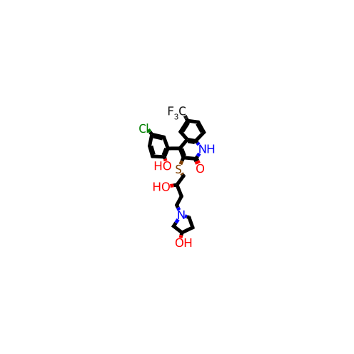 O=c1[nH]c2ccc(C(F)(F)F)cc2c(-c2cc(Cl)ccc2O)c1SCC(O)CCN1CCC(O)C1